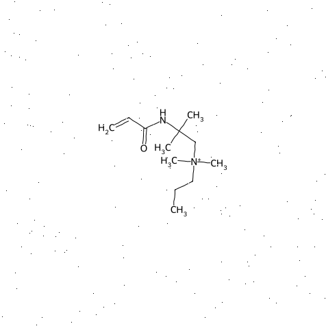 C=CC(=O)NC(C)(C)C[N+](C)(C)CCC